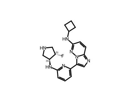 F[C@H]1CNC[C@@H]1Nc1cccc(-c2cnc3ccc(NC4CCC4)nn23)n1